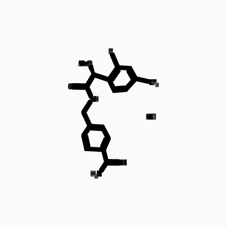 CO[C@H](C(=O)NCc1ccc(C(=N)N)cc1)c1ccc(C(F)(F)F)cc1F.Cl